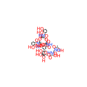 CC(CO)C(=O)NCC(=O)NC(CO)C(=O)OCC1O[C@@H](c2cc(O)c(O)c(C(=O)N[C@H]3COC(=O)[C@@H](NC(=O)c4cccc(O)c4O)COC(=O)[C@@H](NC(=O)c4cccc(O)c4O)COC3=O)c2)C(O)[C@@H](O)[C@@H]1O